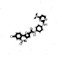 CN(C)c1ccnc(N[C@H]2CC[C@@H](NC(=O)c3ccc(-c4ccc(Cl)cc4[N+](=O)[O-])o3)CC2)n1